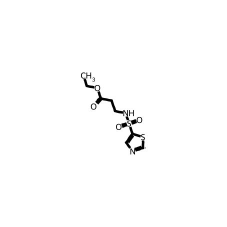 CCOC(=O)CCNS(=O)(=O)c1cn[c]s1